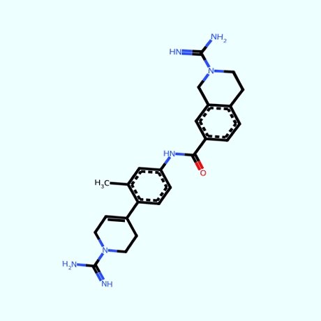 Cc1cc(NC(=O)c2ccc3c(c2)CN(C(=N)N)CC3)ccc1C1=CCN(C(=N)N)CC1